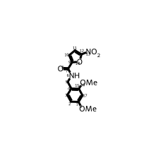 COc1ccc(CNC(=O)c2ccc([N+](=O)[O-])o2)c(OC)c1